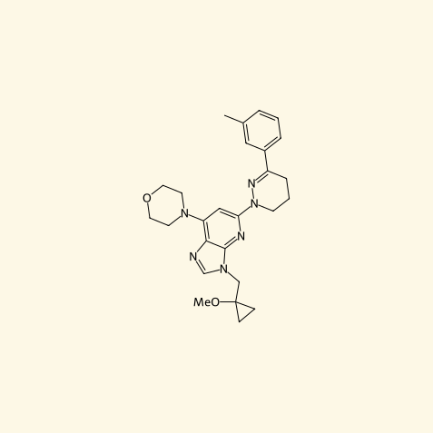 COC1(Cn2cnc3c(N4CCOCC4)cc(N4CCCC(c5cccc(C)c5)=N4)nc32)CC1